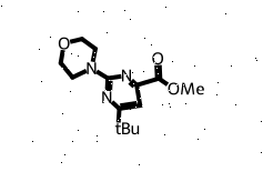 COC(=O)c1cc(C(C)(C)C)nc(N2CCOCC2)n1